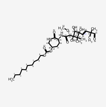 CCCCCCCCCCOC(=O)O[C@@H]1CC[C@H](NC(=O)[C@H](OC)[C@]2(O)[C@@H](O)[C@@](O)(/C=C/C(C)(C)C=O)C2(C)C)C(=O)NC1